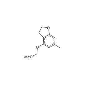 COCOc1cc(C)cc2c1CCO2